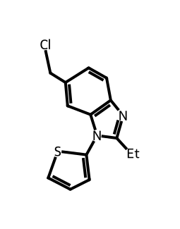 CCc1nc2ccc(CCl)cc2n1-c1cccs1